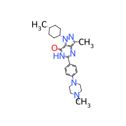 Cc1nn([C@H]2CC[C@@H](C)CC2)c2c(=O)[nH]c(-c3ccc(N4CCN(C)CC4)cc3)nc12